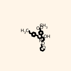 CCCc1ccc(CCc2nc(OCC3CCCCO3)cc(O)c2-c2ccc(C(=O)OC)cc2)cc1